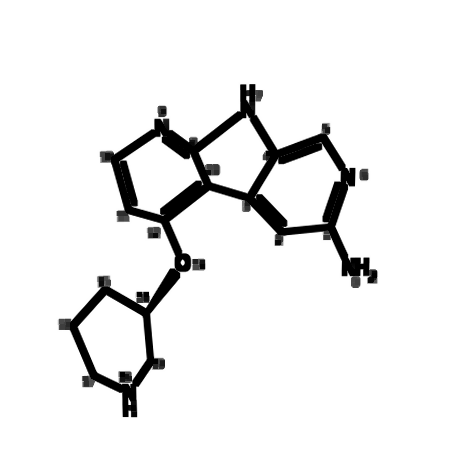 Nc1cc2c(cn1)[nH]c1nccc(O[C@@H]3CCCNC3)c12